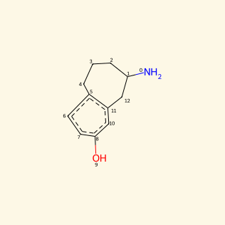 NC1CCCc2ccc(O)cc2C1